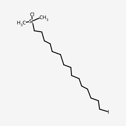 C[Si](C)(Cl)CCCCCCCCCCCCCCCI